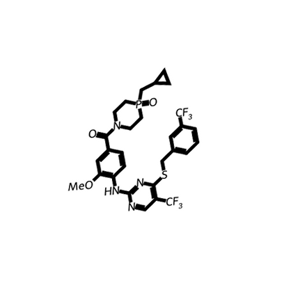 COc1cc(C(=O)N2CCP(=O)(CC3CC3)CC2)ccc1Nc1ncc(C(F)(F)F)c(SCc2cccc(C(F)(F)F)c2)n1